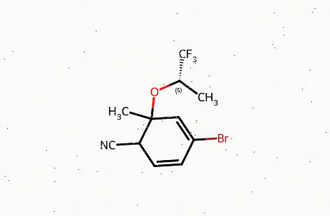 C[C@H](OC1(C)C=C(Br)C=CC1C#N)C(F)(F)F